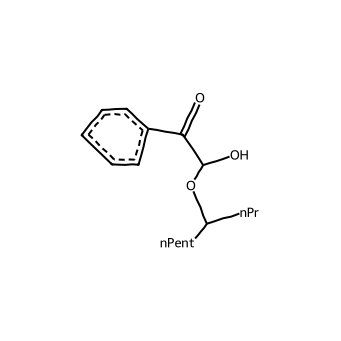 CCCCCC(CCC)OC(O)C(=O)c1ccccc1